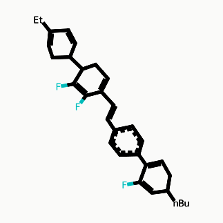 CCCCC1C=C(F)C(c2ccc(/C=C/C3=CCC(C4C=CC(CC)=CC4)C(F)=C3F)cc2)=CC1